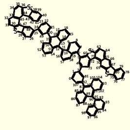 c1cc(-c2cc(-c3cccc4c(-c5c6ccccc6c(-c6cccc(-c7ccc8sc9ccc%10ccc%11sc%12ccccc%12c%11c%10c9c8c7)c6)c6ccccc56)cccc34)c3sc4ccc5cc6c(cc5c4c3c2)sc2ccccc26)cc(-c2c3ccccc3c(-c3cccc4ccccc34)c3ccccc23)c1